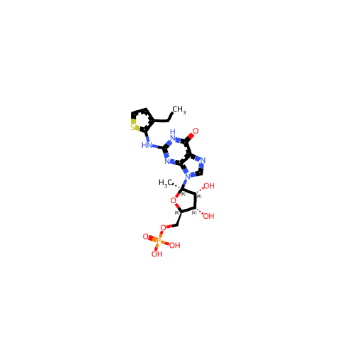 CCc1ccsc1Nc1nc2c(ncn2[C@]2(C)O[C@H](COP(=O)(O)O)[C@@H](O)[C@H]2O)c(=O)[nH]1